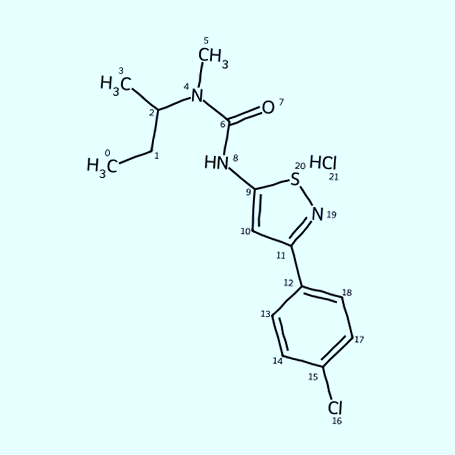 CCC(C)N(C)C(=O)Nc1cc(-c2ccc(Cl)cc2)ns1.Cl